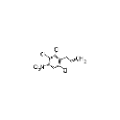 C=CCc1c(Cl)cc([N+](=O)[O-])c(Cl)c1Cl